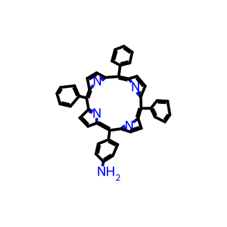 Nc1ccc(C2=C3C=CC(=N3)C(c3ccccc3)=C3C=CC(=N3)C(c3ccccc3)=C3C=CC(=N3)C(c3ccccc3)=C3C=CC2=N3)cc1